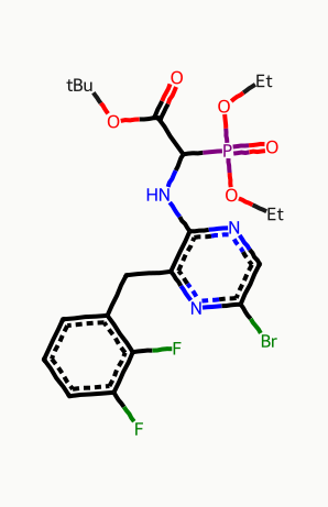 CCOP(=O)(OCC)C(Nc1ncc(Br)nc1Cc1cccc(F)c1F)C(=O)OC(C)(C)C